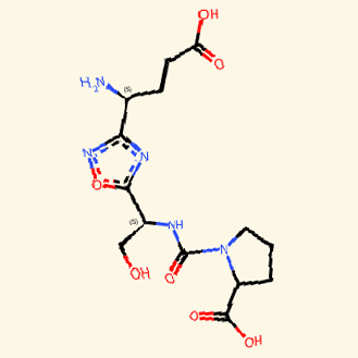 N[C@@H](CCC(=O)O)c1noc([C@H](CO)NC(=O)N2CCCC2C(=O)O)n1